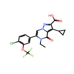 CCn1c(-c2ccc(Cl)c(OC(F)(F)F)c2)cn2nc(C(=O)O)c(C3CC3)c2c1=O